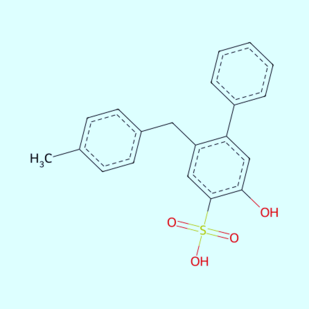 Cc1ccc(Cc2cc(S(=O)(=O)O)c(O)cc2-c2ccccc2)cc1